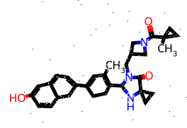 CC1=C(C2NC3(CC3)C(=O)N2CC2CN(C(=O)C3(C)CC3)C2)CCC(C2=CC=C3C=C(O)C=CC3C2)=C1